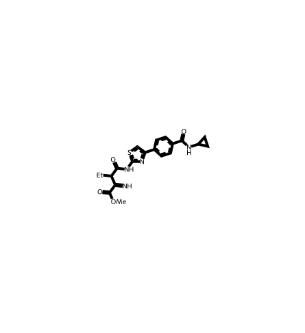 CCC(C(=N)C(=O)OC)C(=O)Nc1nc(-c2ccc(C(=O)NC3CC3)cc2)cs1